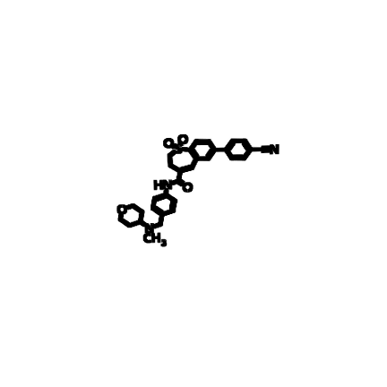 CN(Cc1ccc(NC(=O)C2=Cc3cc(-c4ccc(C#N)cc4)ccc3S(=O)(=O)CC2)cc1)C1CCOCC1